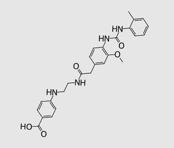 COc1cc(CC(=O)NCCNc2ccc(C(=O)O)cc2)ccc1NC(=O)Nc1ccccc1C